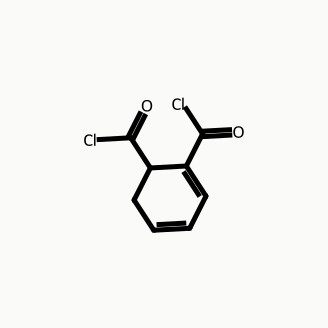 O=C(Cl)C1=CC=CCC1C(=O)Cl